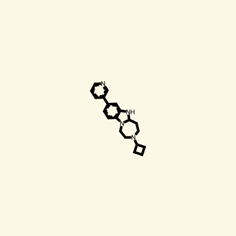 c1cncc(-c2ccc3c(c2)NC2CCN(C4CCC4)CCN32)c1